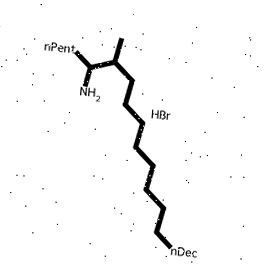 Br.CCCCCCCCCCCCCCCCCCC(C)C(N)CCCCC